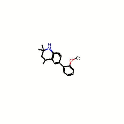 CCOc1ccccc1-c1ccc2c(c1)C(C)CC(C)(C)N2